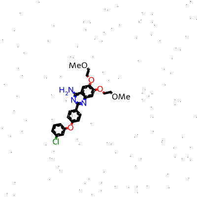 COCCOc1cc2nc(-c3ccc(Oc4cccc(Cl)c4)cc3)nc(N)c2cc1OCCOC